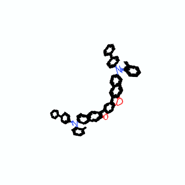 Cc1ccccc1N(c1ccc(-c2ccccc2)cc1)c1ccc2cc3c(cc2c1)oc1cc2oc4cc5cc(N(c6ccc(-c7ccccc7)cc6)c6ccccc6C)ccc5cc4c2cc13